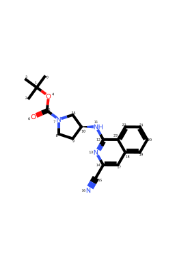 CC(C)(C)OC(=O)N1CC[C@H](Nc2nc(C#N)cc3ccccc23)C1